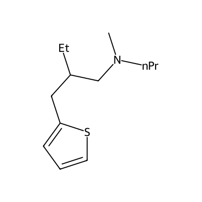 CCCN(C)CC(CC)Cc1cccs1